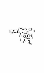 C=CN1CCC(CCC)C(C(=O)OC(C)(C)C)C1=O